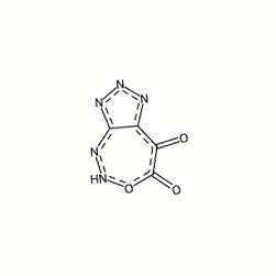 O=c1o[nH]nc2nnnc-2c1=O